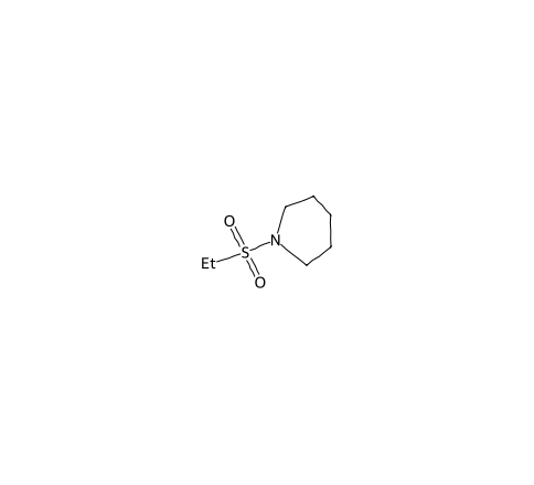 [CH2]CS(=O)(=O)N1CCCCC1